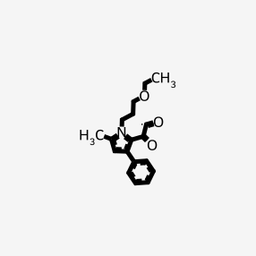 CCOCCCn1c(C)cc(-c2ccccc2)c1C(=O)[C]=O